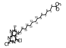 COC(=O)CCCCCCCCCCCCCCn1c(C)nc2nc(Cl)nc(Cl)c21